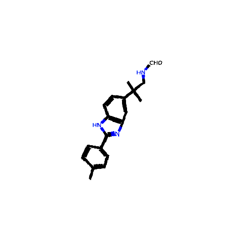 Cc1ccc(-c2nc3cc(C(C)(C)CNC=O)ccc3[nH]2)cc1